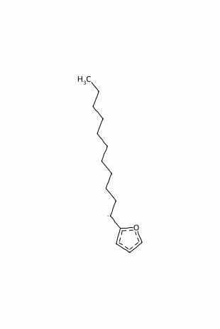 CCCCCCCCCC[CH]c1ccco1